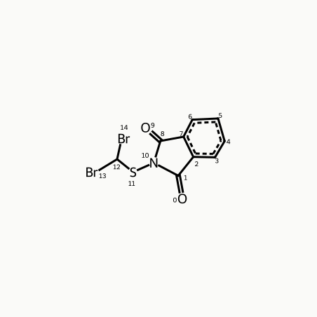 O=C1c2ccccc2C(=O)N1SC(Br)Br